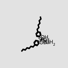 CCCCCCCc1ccc(S(c2ccc(CCCCCCC)cc2)=P(O)(O)S)cc1.[BaH2]